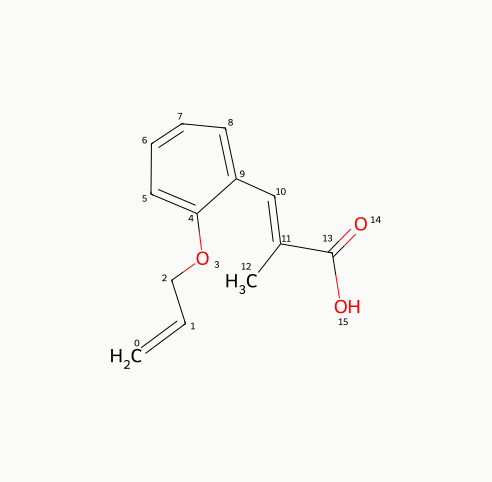 C=CCOc1ccccc1C=C(C)C(=O)O